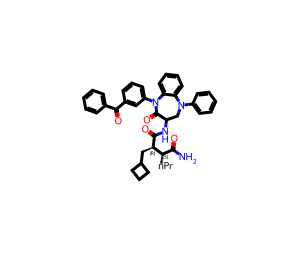 CCC[C@H](C(N)=O)[C@@H](CC1CCC1)C(=O)NC1CN(c2ccccc2)c2ccccc2N(c2cccc(C(=O)c3ccccc3)c2)C1=O